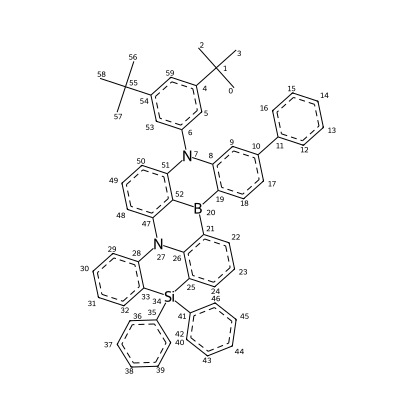 CC(C)(C)c1cc(N2c3cc(-c4ccccc4)ccc3B3c4cccc5c4N(c4ccccc4[Si]5(c4ccccc4)c4ccccc4)c4cccc2c43)cc(C(C)(C)C)c1